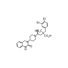 CCc1ccc(CC(CC(=O)N2CCC(N3Cc4ccccc4NC3=O)CC2)(C(=O)O)C(=O)O)cc1CC